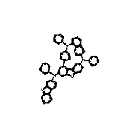 c1ccc(N(c2ccccc2)c2ccc(-c3cc(N(c4ccccc4)c4ccc5c(c4)sc4ccccc45)cc4oc5ccc(N(c6ccccc6)c6ccccc6)cc5c34)cc2)cc1